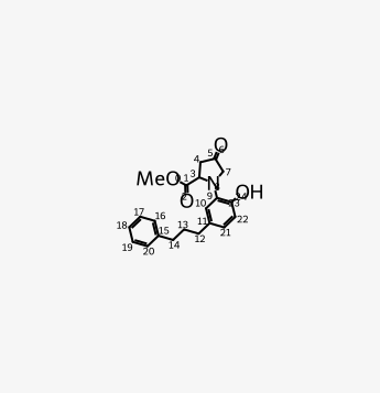 COC(=O)C1CC(=O)CN1c1cc(CCCc2ccccc2)ccc1O